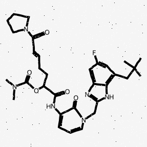 CN(C)C(=O)OC(CCC=CC(=O)N1CCCC1)C(=O)Nc1cccn(Cc2nc3cc(F)cc(CC(C)(C)C)c3[nH]2)c1=O